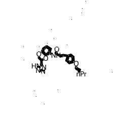 CCCC=COc1ccc(C=CC(=O)Nc2cccc3c2OC(c2nnn[nH]2)CO3)cc1